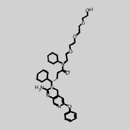 NC1=Nc2cnc(Oc3ccccc3)cc2CN1[C@@H](CCC(=O)N(CCOCCOCCOCCO)C1CCCCC1)C1CCCCC1